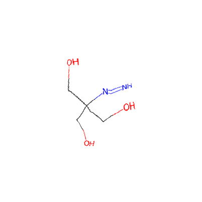 N=NC(CO)(CO)CO